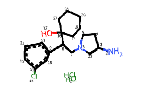 Cl.Cl.NC1CCN(CC(c2cccc(Cl)c2)C2(O)CCCCC2)C1